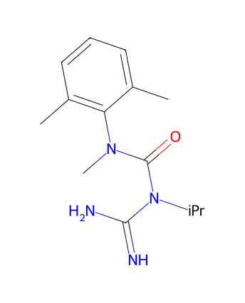 Cc1cccc(C)c1N(C)C(=O)N(C(=N)N)C(C)C